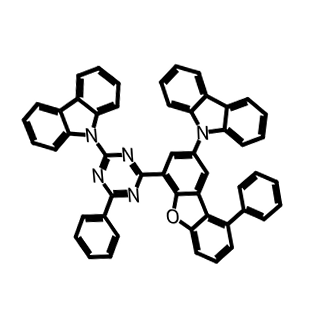 c1ccc(-c2nc(-c3cc(-n4c5ccccc5c5ccccc54)cc4c3oc3cccc(-c5ccccc5)c34)nc(-n3c4ccccc4c4ccccc43)n2)cc1